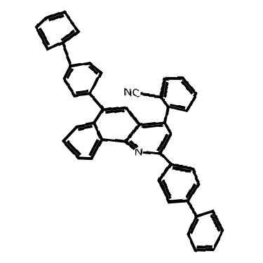 N#Cc1ccccc1-c1cc(-c2ccc(-c3ccccc3)cc2)nc2c1cc(-c1ccc(-c3ccccc3)cc1)c1ccccc12